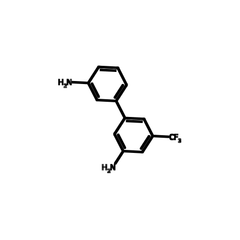 Nc1cccc(-c2cc(N)cc(C(F)(F)F)c2)c1